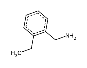 CCc1ccccc1CN